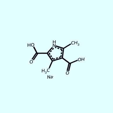 Cc1[nH]c(C(=O)O)c(C)c1C(=O)O.[Na]